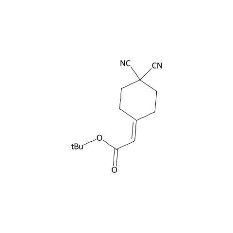 CC(C)(C)OC(=O)C=C1CCC(C#N)(C#N)CC1